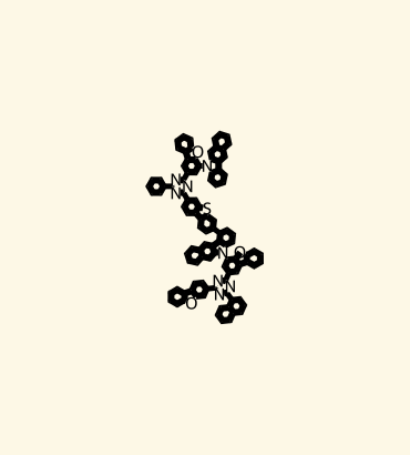 c1ccc(-c2nc(-c3ccc4c(c3)sc3cc(-c5cccc6c5c5cc7ccccc7cc5n6-c5cc(-c6nc(-c7ccc8c(c7)oc7ccccc78)nc(-c7cccc8ccccc78)n6)cc6c5oc5ccccc56)ccc34)nc(-c3cc(-n4c5ccccc5c5cc6ccccc6cc54)c4oc5ccccc5c4c3)n2)cc1